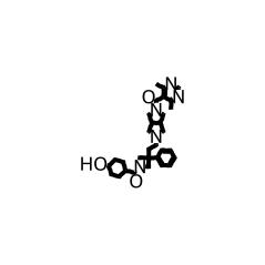 Cc1ncnc(C)c1C(=O)N1CC2CN(CCC3(c4ccccc4)CN(C(=O)C4CCC(O)CC4)C3)CC2C1